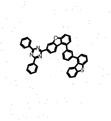 c1ccc(-c2nc(-c3ccccc3)nc(-c3ccc4c(c3)oc3cccc(-c5cccc(-c6cccc7sc8ccccc8c67)c5)c34)n2)cc1